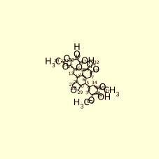 COc1cc(C2c3cc4c(cc3C(CC3OC(O)C(O)C5OC(C)OC35)C3COCC23)OCO4)cc(OC)c1O